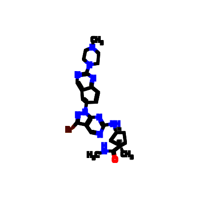 CNC(=O)[C@]1(C)CC[C@@H](Nc2ncc3c(Br)nn(-c4ccc5nc(N6CCN(C)CC6)ncc5c4)c3n2)C1